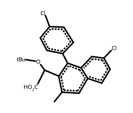 Cc1cc2ccc(Cl)cc2c(-c2ccc(Cl)cc2)c1C(OC(C)(C)C)C(=O)O